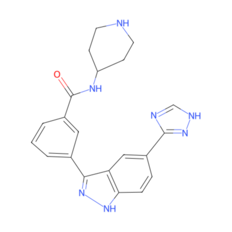 O=C(NC1CCNCC1)c1cccc(-c2n[nH]c3ccc(-c4nc[nH]n4)cc23)c1